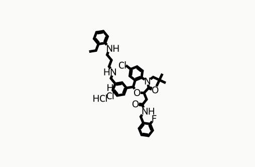 CCc1ccccc1NCCCNCc1cccc(C2OC(CC(=O)NCc3ccccc3F)C(=O)N(CC(C)(C)C)c3ccc(Cl)cc32)c1.Cl.Cl